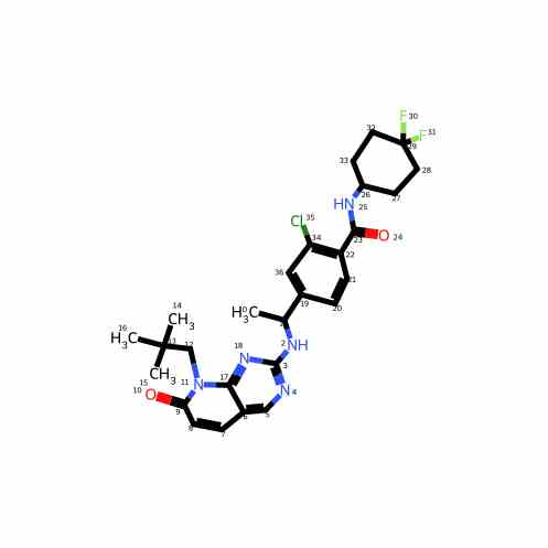 CC(Nc1ncc2ccc(=O)n(CC(C)(C)C)c2n1)c1ccc(C(=O)NC2CCC(F)(F)CC2)c(Cl)c1